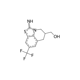 N=c1sc2cc(C(F)(F)F)cc3c2n1CC(CO)C3